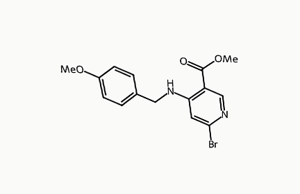 COC(=O)c1cnc(Br)cc1NCc1ccc(OC)cc1